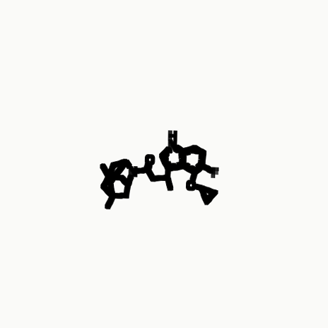 CC(CC(=O)N1C2CC3(C)CC1CC(C)(C2)C3)c1c[nH]c2ccc(F)c(OC3CC3)c12